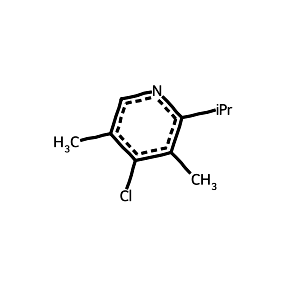 Cc1cnc(C(C)C)c(C)c1Cl